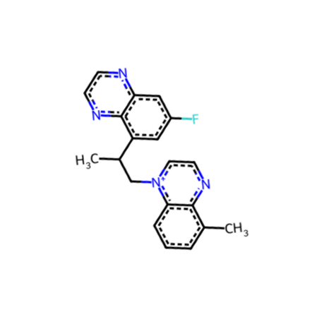 Cc1cccc2c1ncc[n+]2CC(C)c1cc(F)cc2nccnc12